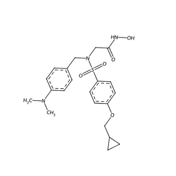 CN(C)c1ccc(CN(CC(=O)NO)S(=O)(=O)c2ccc(OCC3CC3)cc2)cc1